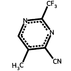 Cc1cnc(C(F)(F)F)nc1C#N